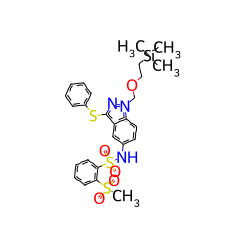 C[Si](C)(C)CCOCn1nc(Sc2ccccc2)c2cc(NS(=O)(=O)c3ccccc3S(C)(=O)=O)ccc21